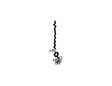 CCCCCCCCCCCCCCCCNc1ccc(C(=O)NS(C)(=O)=O)cc1